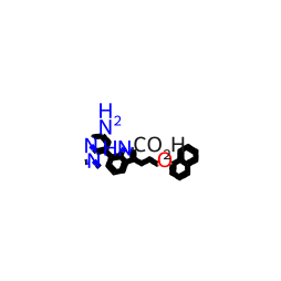 CN(C)c1ncc(N)cc1-c1cccc2c(CCCOc3cccc4ccccc34)c(C(=O)O)[nH]c12